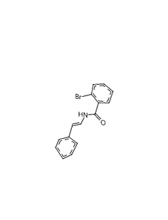 O=C(N/C=C/c1ccccc1)c1ccccc1Br